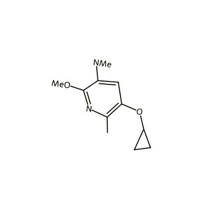 CNc1cc(OC2CC2)c(C)nc1OC